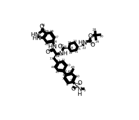 CNS(=O)(=O)c1ccc(-c2ccc(C[C@H](NC(=O)[C@H]3CC[C@H](CNC(=O)OC(C)(C)C)CC3)C(=O)Nc3ccc4c(=O)[nH][nH]c4c3)cc2)c(C)c1